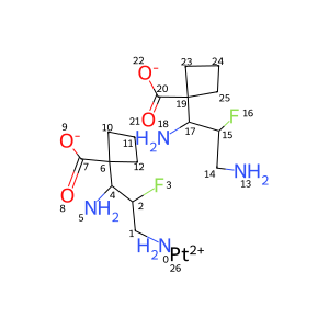 NCC(F)C(N)C1(C(=O)[O-])CCC1.NCC(F)C(N)C1(C(=O)[O-])CCC1.[Pt+2]